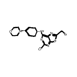 Clc1nc(N[C@H]2CC[C@H](N3CCOCC3)CC2)c2nc(CBr)sc2n1